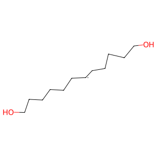 OCCCCC[CH]CCCCCCO